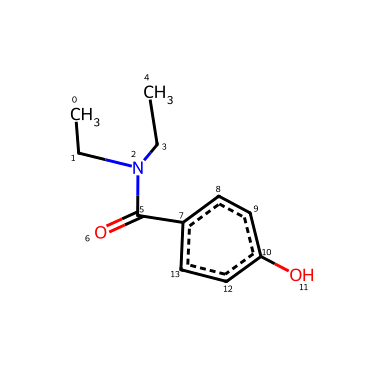 CCN(CC)C(=O)c1ccc(O)cc1